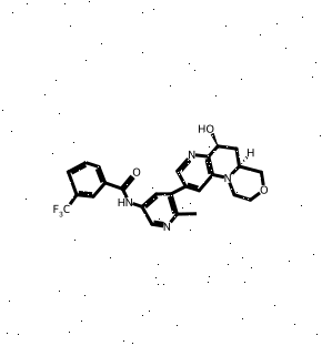 Cc1ncc(NC(=O)c2cccc(C(F)(F)F)c2)cc1-c1cnc2c(c1)N1CCOC[C@@H]1C[C@@H]2O